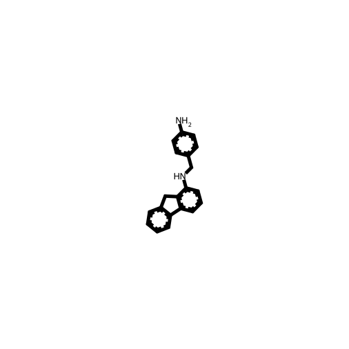 Nc1ccc(CNc2cccc3c2Cc2ccccc2-3)cc1